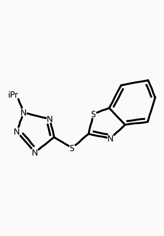 CC(C)n1nnc(Sc2nc3ccccc3s2)n1